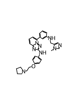 Cn1cncc1CNc1cccc(-c2cccc3nc(Nc4ccc(OCCN5CCCC5)cc4)nn23)c1